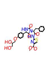 COC(=O)c1csc(NC(=O)C(Cc2ccccc2)N2C(=O)NC(c3ccc(OCC(O)CO)cc3)C2=O)n1